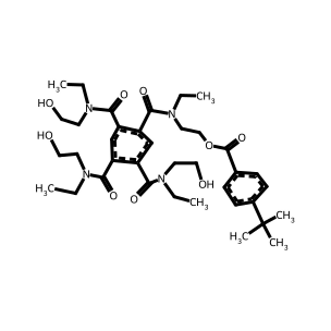 CCN(CCO)C(=O)c1cc(C(=O)N(CC)CCO)c(C(=O)N(CC)CCOC(=O)c2ccc(C(C)(C)C)cc2)cc1C(=O)N(CC)CCO